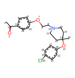 CC(=O)c1ccc(OCCN2CCC(C)(Oc3ccc(Cl)cc3)CC2)cc1